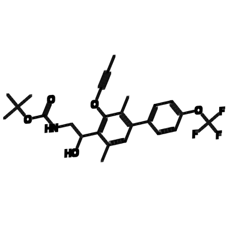 CC#COc1c(C)c(-c2ccc(OC(F)(F)F)cc2)cc(C)c1C(O)CNC(=O)OC(C)(C)C